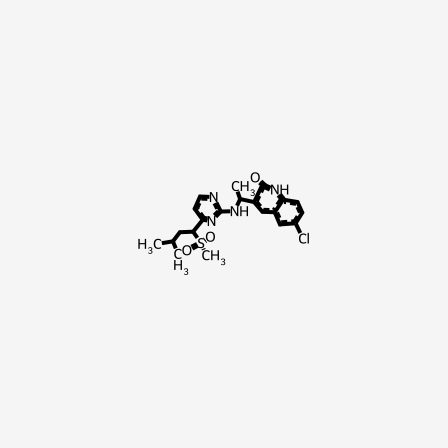 CC(C)CC(c1ccnc(NC(C)c2cc3cc(Cl)ccc3[nH]c2=O)n1)S(C)(=O)=O